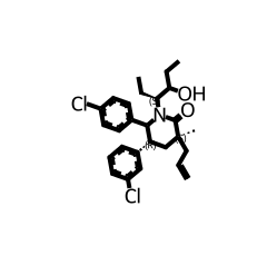 C=CC[C@@]1(C)C[C@H](c2cccc(Cl)c2)C(c2ccc(Cl)cc2)N([C@@H](CC)C(O)CC)C1=O